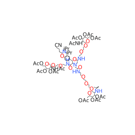 C=C(C)NC1C(OCCOCCOCCNC(=O)CN(CC(=O)NCCOCCOC2OC(COC(C)=O)C(OC(C)=O)C(OC(C)=O)C2NC(C)=O)C(Cc2ccc(OC(CCCC#N)N(C(C)C)C(C)C)cc2)C(=O)NCCOCCOC2(NC(C)=O)COC(COC(C)=O)C(OC(C)=O)C2OC(C)=O)OC(COC(C)=O)C(OC(C)=O)C1OC(C)=O